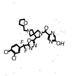 O=C(c1cnc(O)cn1)N1CC(c2nnc(C(F)(F)c3ccc(Cl)c(Cl)c3)o2)C2(CN(CC3CCCO3)C2)C1